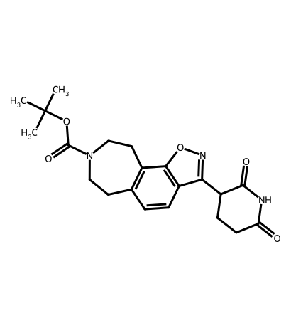 CC(C)(C)OC(=O)N1CCc2ccc3c(C4CCC(=O)NC4=O)noc3c2CC1